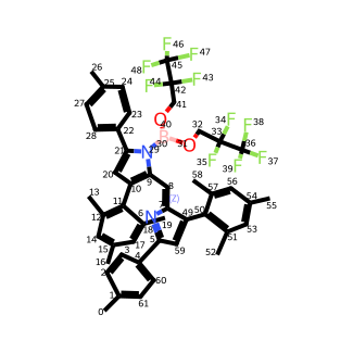 Cc1ccc(C2=N/C(=C\c3c(-c4c(C)cc(C)cc4C)cc(-c4ccc(C)cc4)n3B(OCC(F)(F)C(F)(F)F)OCC(F)(F)C(F)(F)F)C(c3c(C)cc(C)cc3C)=C2)cc1